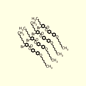 CCCCCCCCOc1ccc(-c2ccc(OC(=O)c3ccc(CCCCC)c(Br)c3)cc2)cc1.CCCCCCCCOc1ccc(-c2ccc(OC(=O)c3ccc(CCCCCC)c(Br)c3)cc2)cc1.CCCCCCCCOc1ccc(-c2ccc(OC(=O)c3ccc(CCCCCCC)c(Br)c3)cc2)cc1.CCCCCCCCOc1ccc(-c2ccc(OC(=O)c3ccc(CCCCCCCC)c(Br)c3)cc2)cc1